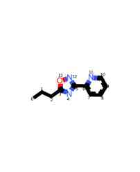 [CH2]CCc1nc(-c2ccccn2)no1